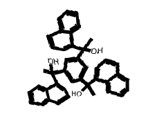 CC(O)(c1cc(C(C)(O)c2cccc3ccccc23)cc(C(C)(O)c2cccc3ccccc23)c1)c1cccc2ccccc12